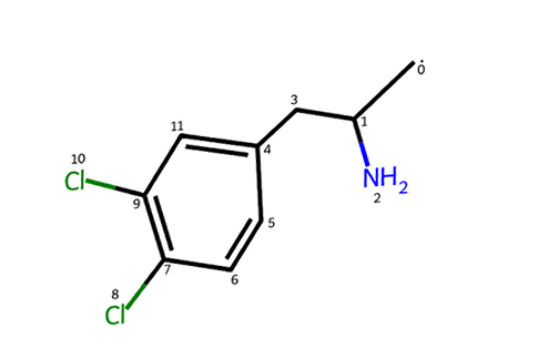 [CH2]C(N)Cc1ccc(Cl)c(Cl)c1